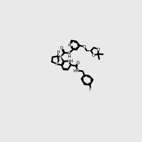 CC1(C)OC[C@H](COc2ccnc(NC(=O)N3C4=C(C=CC(C(=O)NCc5ccc(F)cc5)N4)N4CC[C@H]3C4)c2)O1